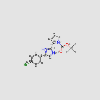 CC(C)(C)OC(=O)N1CC=C[C@H]1c1ncc(-c2ccc(Br)cc2)[nH]1